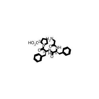 NCC(=O)N[C@@H](Cc1ccccc1)C(=O)N[C@@H](Cc1ccccc1)C(=O)N1CCC[C@H]1C(=O)O